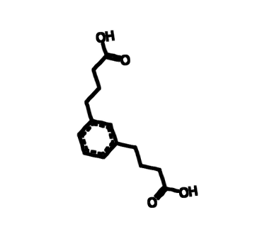 O=C(O)CCCc1cccc(CCCC(=O)O)c1